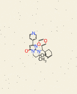 CC1(C)CCn2c(nc(-c3ccncc3)cc2=O)N1C(C1=CC=CCC1)C1=COC=CO1